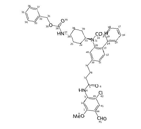 COc1cc(NC(=O)CCCc2ccc(-c3ccccc3)c(N(C(=O)O)[C@H]3CC[C@H](NC(=O)OCc4ccccc4)CC3)c2)c(Cl)cc1C=O